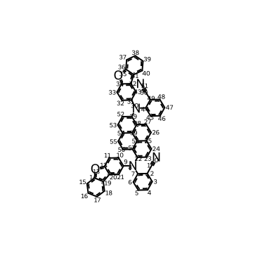 N#Cc1ccccc1N(c1ccc2oc3ccccc3c2c1)c1ccc2ccc3c(N(c4ccc5oc6ccccc6c5c4)c4ccccc4C#N)ccc4ccc1c2c43